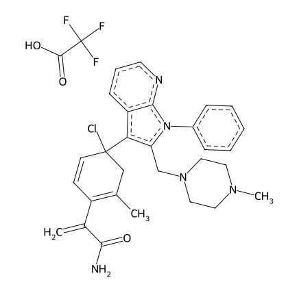 C=C(C(N)=O)C1=C(C)CC(Cl)(c2c(CN3CCN(C)CC3)n(-c3ccccc3)c3ncccc23)C=C1.O=C(O)C(F)(F)F